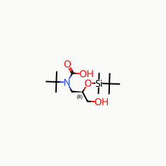 CC(C)(C)N(C[C@H](CO)O[Si](C)(C)C(C)(C)C)C(=O)O